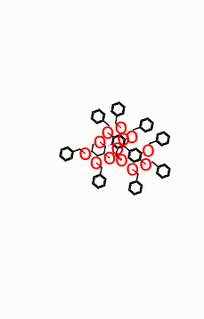 O=C(OC[C@H]1OC[C@H](OCc2ccccc2)[C@@H](OCc2ccccc2)[C@@H]1OC(=O)c1cc(OCc2ccccc2)c(OCc2ccccc2)c(OCc2ccccc2)c1)c1cc(OCc2ccccc2)c(OCc2ccccc2)c(OCc2ccccc2)c1